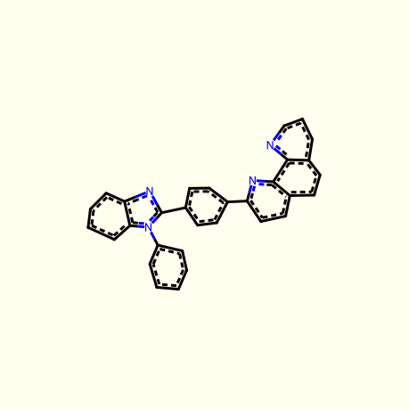 c1ccc(-n2c(-c3ccc(-c4ccc5ccc6cccnc6c5n4)cc3)nc3ccccc32)cc1